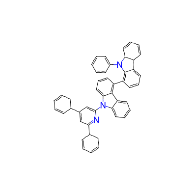 C1=CCC(c2cc(C3C=CC=CC3)nc(-n3c4ccccc4c4c(-c5cccc6c5N(c5ccccc5)C5C=CC=CC65)cccc43)c2)C=C1